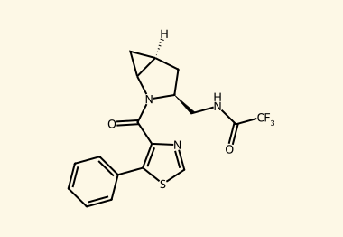 O=C(c1ncsc1-c1ccccc1)N1C2C[C@H]2C[C@H]1CNC(=O)C(F)(F)F